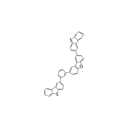 c1cc(-c2ccc3oc4ccc(-c5ccc6sc7ccccc7c6c5)cc4c3c2)cc(-c2ccc3sc4ccccc4c3c2)c1